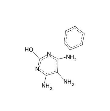 Nc1nc(O)nc(N)c1N.c1ccccc1